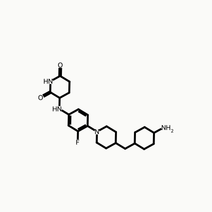 NC1CCC(CC2CCN(c3ccc(NC4CCC(=O)NC4=O)cc3F)CC2)CC1